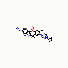 C=NCc1ccc2c3c([nH]c2c1)C(C)(C)c1cc(N2CCN(C4CCC4)CC2)c(CC)cc1C3=O